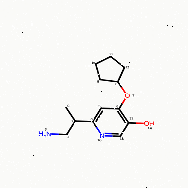 CC(CN)c1cc(OC2CCCC2)c(O)cn1